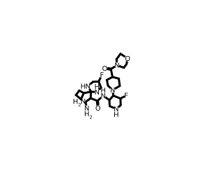 NC(N)C(C(=O)NC1CNCC(F)C1N1CCC(C(=O)N2CCOCC2)CC1)C1(C2CCC2)NCC(F)CN1